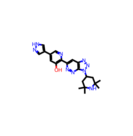 CC1(C)CC(n2nnc3cc(-c4ncc(-c5cn[nH]c5)cc4O)nnc32)CC(C)(C)N1